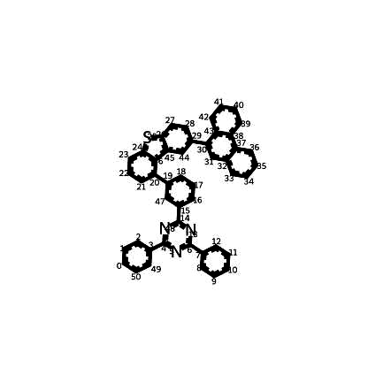 c1ccc(-c2nc(-c3ccccc3)nc(-c3cccc(-c4cccc5sc6ccc(-c7cc8ccccc8c8ccccc78)cc6c45)c3)n2)cc1